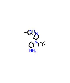 C=C(CC(C)(C)C)N(c1cccc(N)c1)c1ccnc(-c2cc(C)c[nH]2)c1